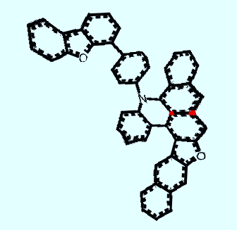 c1ccc(N(c2ccc(-c3cccc4c3oc3ccccc34)cc2)c2cccc3ccccc23)c(-c2cccc3oc4cc5ccccc5cc4c23)c1